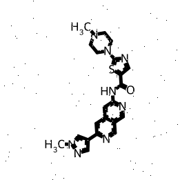 CN1CCN(c2ncc(C(=O)Nc3cc4cc(-c5cnn(C)c5)ncc4cn3)s2)CC1